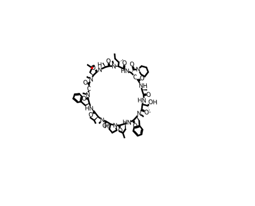 CC[C@H](C)[C@H]1C(=O)N[C@H](C(=O)N2CCCCC2)CC(=O)N[C@@H](C)C(=O)N[C@@H]([C@@H](C)O)C(=O)N(C)[C@@H](Cc2ccccc2)C(=O)N[C@@H](CC(C)C)C(=O)N2CCC[C@H]2C(=O)N(C)[C@@H](C(C)C)C(=O)N[C@@H](Cc2ccccc2)C(=O)N(C)CC(=O)N(C)[C@@H](CC(C)C)C(=O)N[C@@H](C)C(=O)N1C